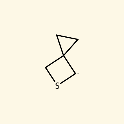 [CH]1SCC12CC2